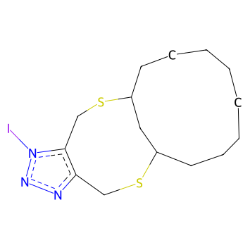 In1nnc2c1CSC1CCCCCCCCC(C1)SC2